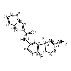 C[C@@]1(c2cc(NC(=O)c3cn4ccccc4n3)ccc2F)CCSC(N)=N1